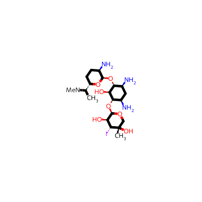 CNC(C)[C@@H]1CC[C@@H](N)[C@@H](O[C@H]2[C@H](O)[C@@H](O[C@H]3OC[C@](C)(O)[C@H](I)[C@H]3O)[C@H](N)C[C@@H]2N)O1